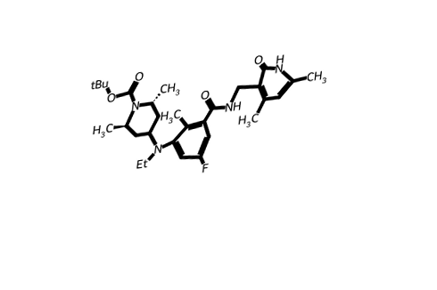 CCN(c1cc(F)cc(C(=O)NCc2c(C)cc(C)[nH]c2=O)c1C)C1C[C@@H](C)N(C(=O)OC(C)(C)C)[C@H](C)C1